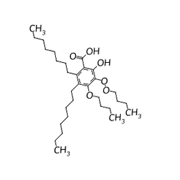 CCCCCCCCc1c(CCCCCCCC)c(C(=O)O)c(O)c(OOCCCC)c1OCCCC